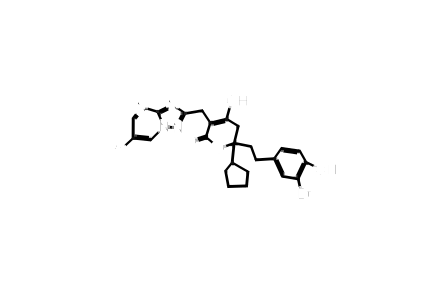 CCc1cc(CCC2(C3CCCC3)CC(O)=C(Cc3nc4ncc(Br)cn4n3)C(=O)O2)ccc1O